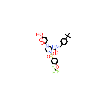 CC(C)(C)c1ccc(CNC(=O)[C@H]2CN(C(=O)/C=C\C(=O)O)CCN2S(=O)(=O)c2ccc(OC(F)(F)F)cc2)cc1